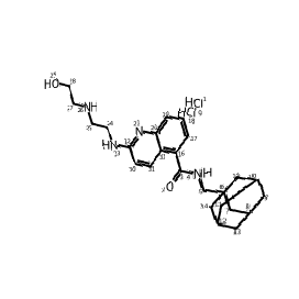 Cl.Cl.O=C(NCC12CC3CC(CC(C3)C1)C2)c1cccc2nc(NCCNCCO)ccc12